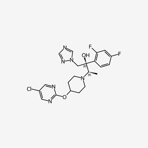 C[C@@H](N1CCC(Oc2ncc(Cl)cn2)CC1)[C@](O)(Cn1cncn1)c1ccc(F)cc1F